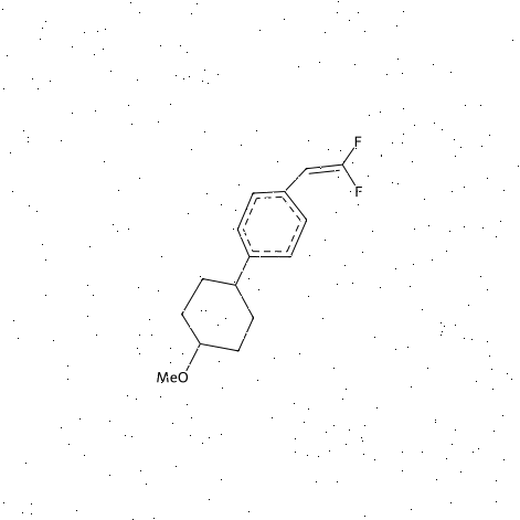 COC1CCC(c2ccc(C=C(F)F)cc2)CC1